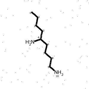 CCCCC(N)CCCCN